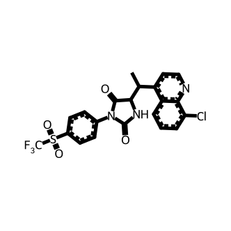 CC(c1ccnc2c(Cl)cccc12)C1NC(=O)N(c2ccc(S(=O)(=O)C(F)(F)F)cc2)C1=O